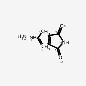 C=CC.N.N.O=C1C=CC(=O)N1